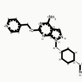 Nc1nc(OCc2ccncc2)nc2c1cnn2C[C@H]1CC[C@@H](CBr)CC1